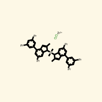 CC1=Cc2c(-c3cc(C(C)C)cc(C(C)C)c3)cc(C(C)C)cc2C1[Si](C)(C)C1C(C)=Cc2c(-c3cc(C(C)C)cc(C(C)C)c3)cc(C(C)C)cc21.[Cl-].[Cl-].[Zr+2]